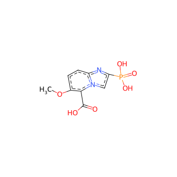 COc1ccc2nc(P(=O)(O)O)cn2c1C(=O)O